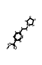 COC(=O)c1ccc(CCN2CCCC2)nc1